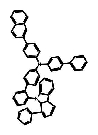 C1=CC2c3ccccc3N(c3ccccc3-c3ccc(N(c4ccc(-c5ccccc5)cc4)c4ccc(-c5ccc6ccccc6c5)cc4)cc3)C2C(c2ccccc2)=C1